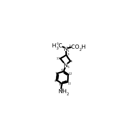 CN(C(=O)O)C1CN(c2ccc(N)cc2)C1